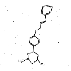 CC1CC(C)OC(c2ccc(OCC=Cc3ccccc3)cc2)O1